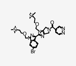 C[Si](C)(C)CCOCn1c(-c2nn(COCC[Si](C)(C)C)c3cc(Br)ccc23)nc2c1CN(C(=O)c1ccnnc1)C2